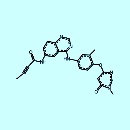 CC#CC(=O)Nc1ccc2ncnc(Nc3ccc(Oc4cc(=O)n(C)cn4)c(C)c3)c2c1